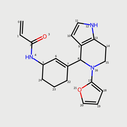 C=CC(=O)NC1C=C(C2c3cc[nH]c3CCN2c2ccco2)CCC1